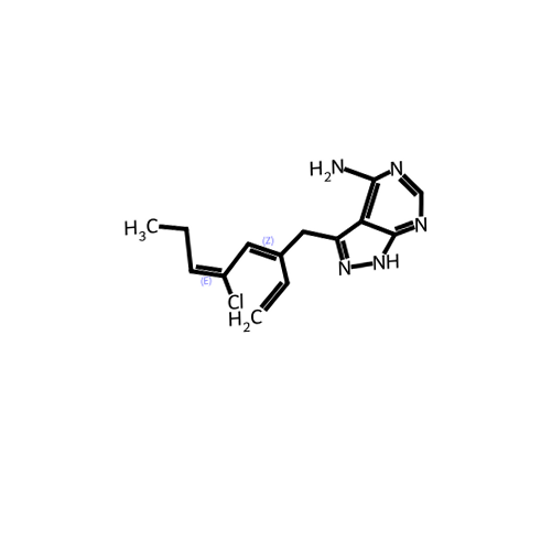 C=C/C(=C\C(Cl)=C/CC)Cc1n[nH]c2ncnc(N)c12